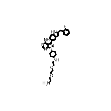 NCCOCCOCCN[C@H]1CC[C@H](n2nc(-c3ccc4[nH]c(Cc5ccccc5F)cc4c3)c3c(N)ncnc32)CC1